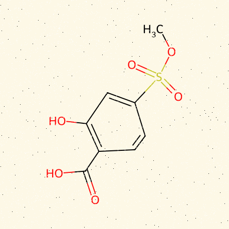 COS(=O)(=O)c1ccc(C(=O)O)c(O)c1